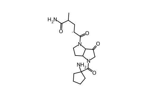 CC(C[CH]C(=O)N1CCC2C1C(=O)CN2C(=O)C1(N)CCCC1)C(N)=O